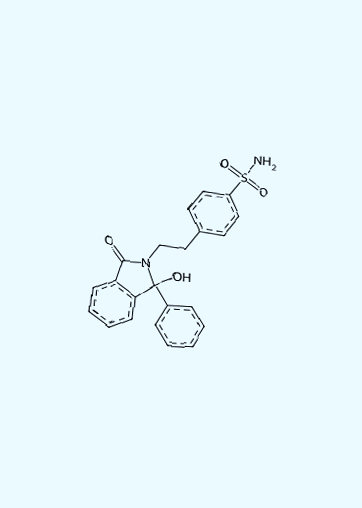 NS(=O)(=O)c1ccc(CCN2C(=O)c3ccccc3C2(O)c2ccccc2)cc1